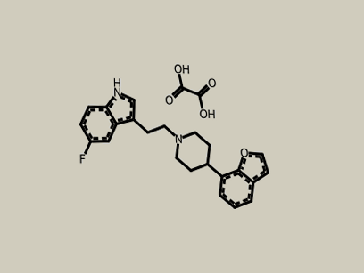 Fc1ccc2[nH]cc(CCN3CCC(c4cccc5ccoc45)CC3)c2c1.O=C(O)C(=O)O